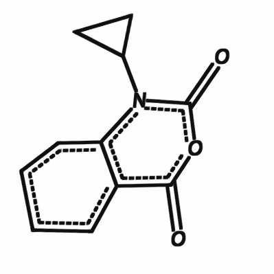 O=c1oc(=O)n(C2CC2)c2ccccc12